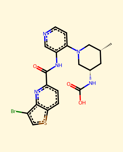 C[C@@H]1C[C@H](NC(=O)O)CN(c2ccncc2NC(=O)c2ccc3scc(Br)c3n2)C1